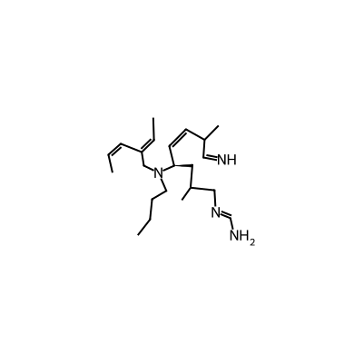 C/C=C\C(=C/C)CN(CCCC)[C@@H](/C=C\C(C)C=N)CC(C)C/N=C/N